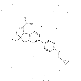 CCC1(CC)Cc2cc(-c3ccc(OCC4CC4)nc3)ccc2C1NC(=O)O